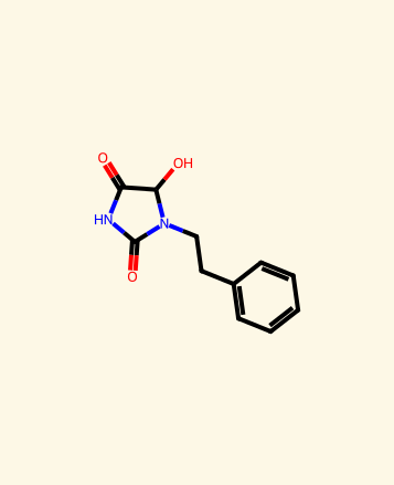 O=C1NC(=O)N(CCc2ccccc2)C1O